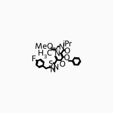 CO[C@H](C)[C@H]1CN(C(C)C)C(=O)c2c(OCc3ccccc3)c(=O)c(-c3nnc(Cc4ccc(F)cc4)s3)cn21